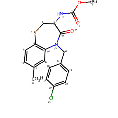 CC(C)(C)OC(=O)N[C@H]1CSc2ccc(C(=O)O)cc2N(Cc2ccc(Cl)cc2)C1=O